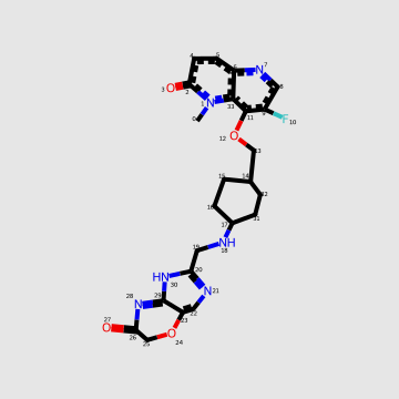 Cn1c(=O)ccc2ncc(F)c(OCC3CCC(NCC4=NC=C5OCC(=O)N=C5N4)CC3)c21